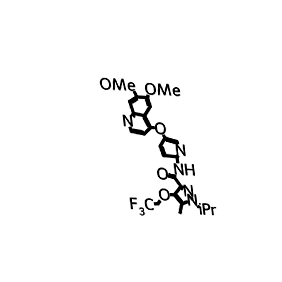 COc1cc2nccc(Oc3ccc(NC(=O)c4nn(C(C)C)c(C)c4OCC(F)(F)F)nc3)c2cc1OC